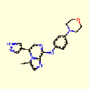 Cc1cnc2c(Nc3ccc(N4CCOCC4)cc3)ncc(-c3cn[nH]c3)n12